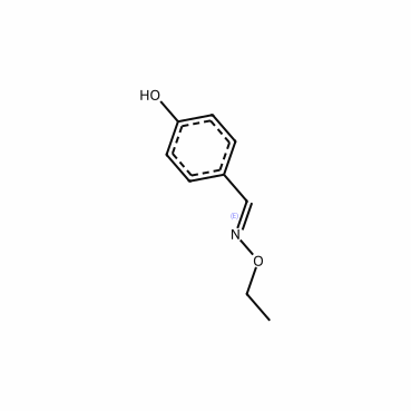 CCO/N=C/c1ccc(O)cc1